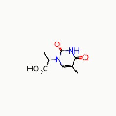 Cc1cn(C(C)C(=O)O)c(=O)[nH]c1=O